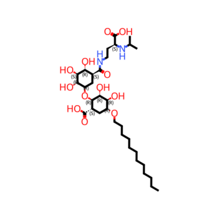 CCCCCCCCCCCCO[C@@H]1C[C@H](C(=O)O)[C@@H](O[C@@H]2C[C@H](C(=O)NCC[C@H](NC(C)C)C(=O)O)[C@@H](O)[C@H](O)[C@H]2O)[C@H](O)[C@H]1O